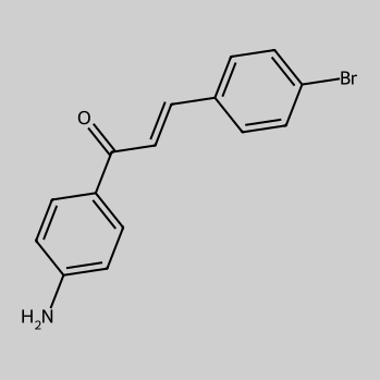 Nc1ccc(C(=O)C=Cc2ccc(Br)cc2)cc1